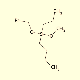 CCCC[Si](CCC)(OC)OCBr